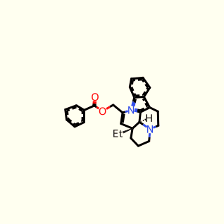 CC[C@]12C=C(COC(=O)c3ccccc3)n3c4c(c5ccccc53)CCN(CCC1)[C@H]42